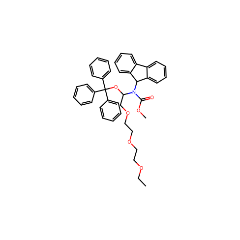 CCOCCOCCOCC(OC(c1ccccc1)(c1ccccc1)c1ccccc1)N(C(=O)OC)C1c2ccccc2-c2ccccc21